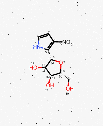 O=[N+]([O-])c1cc[nH]c1[C@@H]1O[C@H](CO)[C@@H](O)[C@H]1O